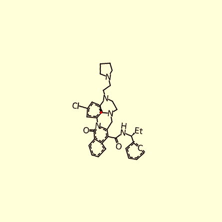 CC[C@H](NC(=O)c1c(CN2CCN(CCN3CCCC3)CC2)n(-c2cccc(Cl)c2)c(=O)c2ccccc12)c1ccccc1